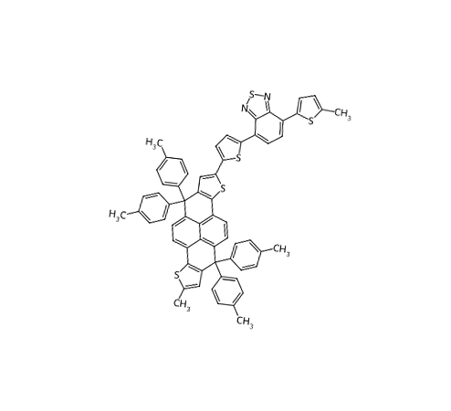 Cc1ccc(C2(c3ccc(C)cc3)c3cc(C)sc3-c3ccc4c5c(ccc2c35)-c2sc(-c3ccc(-c5ccc(-c6ccc(C)s6)c6nsnc56)s3)cc2C4(c2ccc(C)cc2)c2ccc(C)cc2)cc1